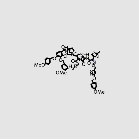 BOC(=O)C1=C(C[N@@+]23CC[C@@H](C2)N(C(=O)c2ccc(OCc4ccc(OC)cc4)c(OCc4ccc(OC)cc4)c2Cl)CC3)CS[C@@H]2[C@H](NC(=O)/C(=N\OCc3cc(OCc4ccc(OC)cc4)no3)c3csc(C)n3)C(=O)N12